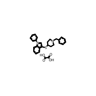 O=C(O)C(=O)O.c1ccc(CN2CCC(Sc3cn(-c4ccccc4)c4ccccc34)CC2)cc1